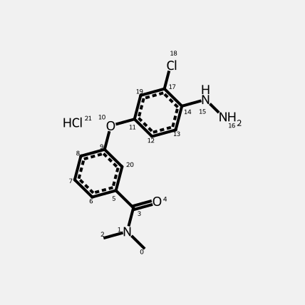 CN(C)C(=O)c1cccc(Oc2ccc(NN)c(Cl)c2)c1.Cl